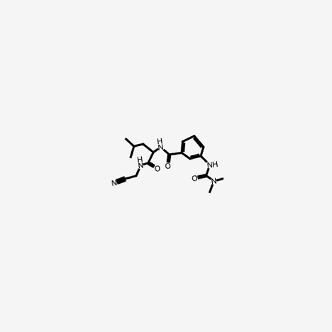 CC(C)CC(NC(=O)c1cccc(NC(=O)N(C)C)c1)C(=O)NCC#N